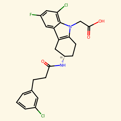 O=C(O)Cn1c2c(c3cc(F)cc(Cl)c31)C[C@@H](NC(=O)CCc1cccc(Cl)c1)CC2